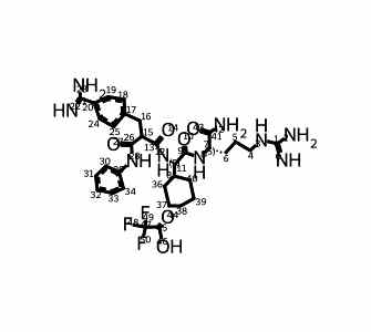 N=C(N)NCCC[C@H](NC(=O)[C@@H](NC(=O)C(Cc1ccc(C(=N)N)cc1)C(=O)Nc1ccccc1)C1CCCCC1)C(N)=O.O=C(O)C(F)(F)F